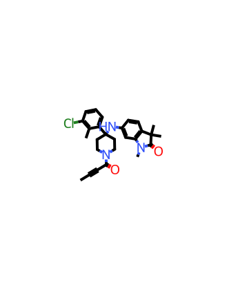 CC#CC(=O)N1CCC(Nc2ccc3c(c2)N(C)C(=O)C3(C)C)(c2cccc(Cl)c2C)CC1